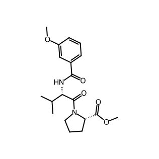 COC(=O)[C@@H]1CCCN1C(=O)[C@@H](NC(=O)c1cccc(OC)c1)C(C)C